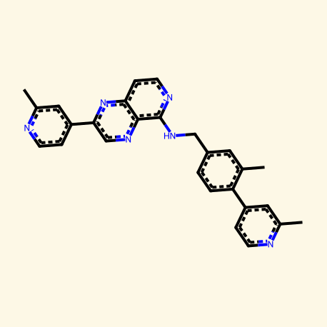 Cc1cc(-c2cnc3c(NCc4ccc(-c5ccnc(C)c5)c(C)c4)nccc3n2)ccn1